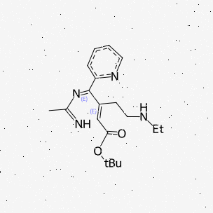 CCNCCC(=C\C(=O)OC(C)(C)C)/C(=N\C(C)=N)c1ccccn1